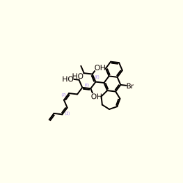 C=C/C=C\C=C/C/C(CO)=C(O)/C(=C(/O)C(C)O)c1c2c(c(Br)c3ccccc13)C=CCCC2